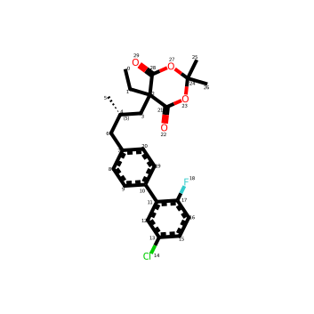 CCC1(C[C@@H](C)Cc2ccc(-c3cc(Cl)ccc3F)cc2)C(=O)OC(C)(C)OC1=O